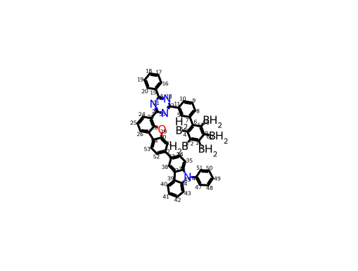 Bc1c(B)c(B)c(-c2cccc(-c3nc(-c4ccccc4)nc(-c4cccc5c4oc4cc(-c6ccc7c(c6)c6ccccc6n7-c6ccccc6)ccc45)n3)c2)c(B)c1B